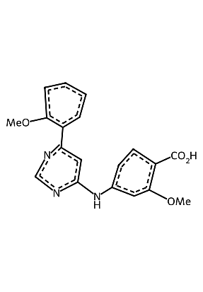 COc1cc(Nc2cc(-c3ccccc3OC)ncn2)ccc1C(=O)O